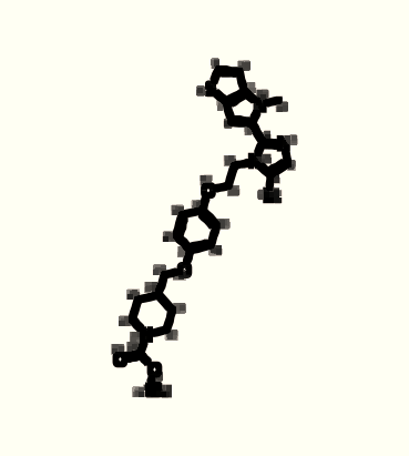 CCc1cnc(-c2cc3sccc3n2C)n1CCOc1ccc(OCC2CCN(C(=O)OC(C)(C)C)CC2)cc1